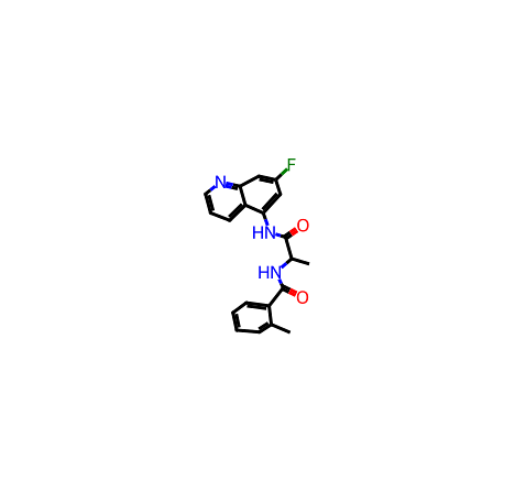 Cc1ccccc1C(=O)NC(C)C(=O)Nc1cc(F)cc2ncccc12